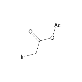 CC(=O)OC(=O)[CH2][Ir]